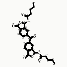 CCCCC(=O)OC1OC(=O)c2ccc(C(=O)c3ccc4c(c3)C(OC(=O)CCCC)OC4=O)cc21